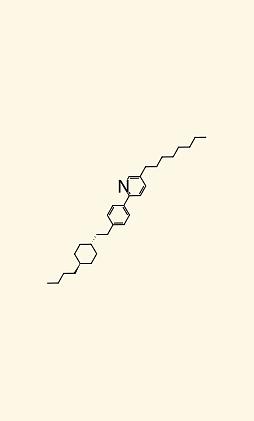 CCCCCCCCc1ccc(-c2ccc(CC[C@H]3CC[C@H](CCCC)CC3)cc2)nc1